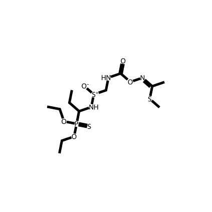 CCOP(=S)(OCC)C(CC)N[S+]([O-])CNC(=O)ON=C(C)SC